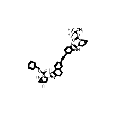 CC(C)(C)OC(=O)N1C2CC2C[C@H]1c1nc2ccc(C#Cc3ccc4c(c3)CCc3nc([C@@H]5C[C@H]6C[C@H]6N5C(=O)OCc5ccccc5)[nH]c3-4)cc2[nH]1